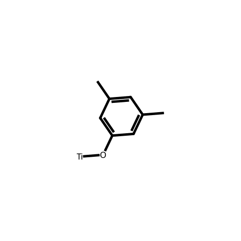 Cc1cc(C)cc([O][Ti])c1